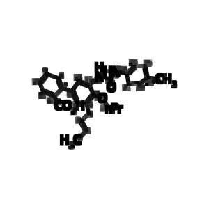 C/C=C/Cc1cc(-c2ccccc2C(=O)O)cc(NC(=O)Nc2ccc(C)cc2)c1OCCC